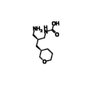 NC[C@@H](CNC(=O)O)C[C@H]1CCCOC1